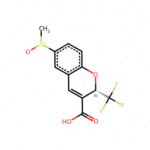 C[S+]([O-])c1ccc2c(c1)C=C(C(=O)O)[C@@H](C(F)(F)F)O2